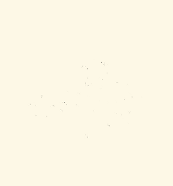 N#Cc1ccc(-c2cc(F)ccc2Oc2cncnc2N2CC3(CN(CC4CCOCC4)C3)C2)c(C2CC2)c1